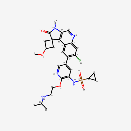 CO[C@H]1C[C@@]2(C1)C(=O)N(C)c1cnc3cc(F)c(-c4cnc(OCCNC(C)C)c(NS(=O)(=O)C5CC5)c4)cc3c12